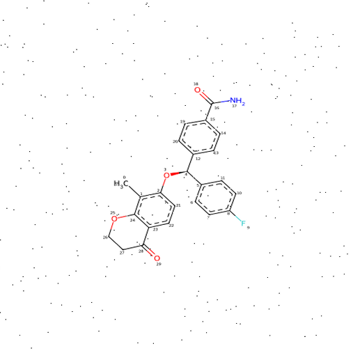 Cc1c(O[C@H](c2ccc(F)cc2)c2ccc(C(N)=O)cc2)ccc2c1OCCC2=O